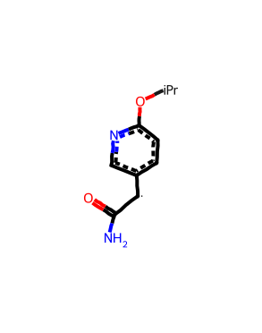 CC(C)Oc1ccc([CH]C(N)=O)cn1